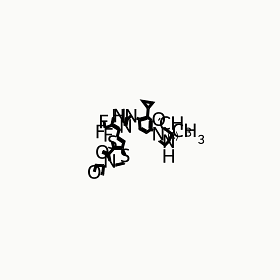 COc1c(N2CCN[C@H](C)C2)ccc(Nc2ncc(C(F)(F)F)c(-c3cc4c(s3)C(=O)N(C3COC3)CCS4)n2)c1C1CC1